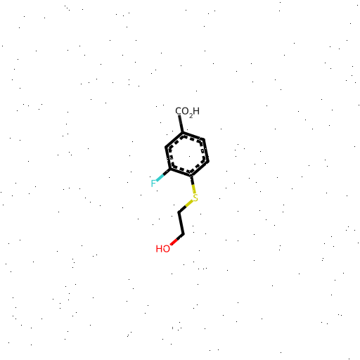 O=C(O)c1ccc(SCCO)c(F)c1